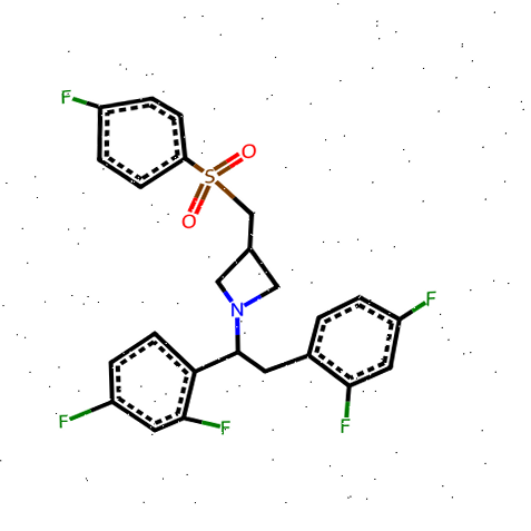 O=S(=O)(CC1CN(C(Cc2ccc(F)cc2F)c2ccc(F)cc2F)C1)c1ccc(F)cc1